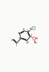 C=[C]c1ccc(Cl)c(OC)c1